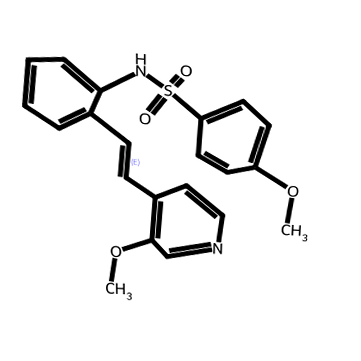 COc1ccc(S(=O)(=O)Nc2ccccc2/C=C/c2ccncc2OC)cc1